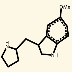 COc1ccc2c(c1)C(CC1CCCN1)CN2